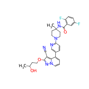 CC(O)CCOc1nn2cccc(-c3ccc(N4CCC(C)(NC(=O)c5cc(F)ccc5F)CC4)nc3)c2c1C#N